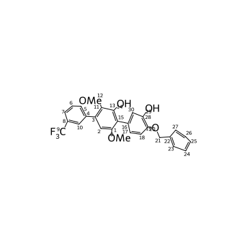 COc1cc(-c2cccc(C(F)(F)F)c2)c(OC)c(O)c1-c1ccc(OCc2ccccc2)c(O)c1